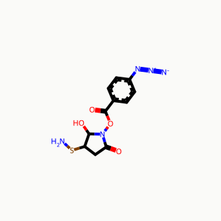 [N-]=[N+]=Nc1ccc(C(=O)ON2C(=O)CC(SN)C2O)cc1